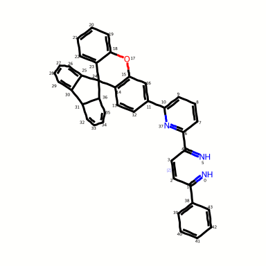 N=C(/C=C\C(=N)c1cccc(-c2ccc3c(c2)Oc2ccccc2C32c3ccccc3C3C=CC=CC32)n1)c1ccccc1